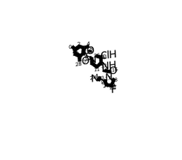 Cc1cc(C)c(S(=O)(=O)N2CCC(NCC(=O)N3C[C@@H](F)C[C@H]3C#N)CC2)c(C)c1.Cl